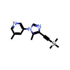 Cc1cncc(-n2cnc(C#C[Si](C)(C)C)c2C)c1